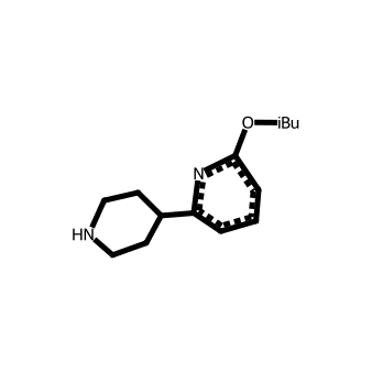 CCC(C)Oc1cccc(C2CCNCC2)n1